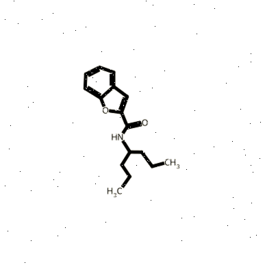 CCCC(CCC)NC(=O)c1cc2ccccc2o1